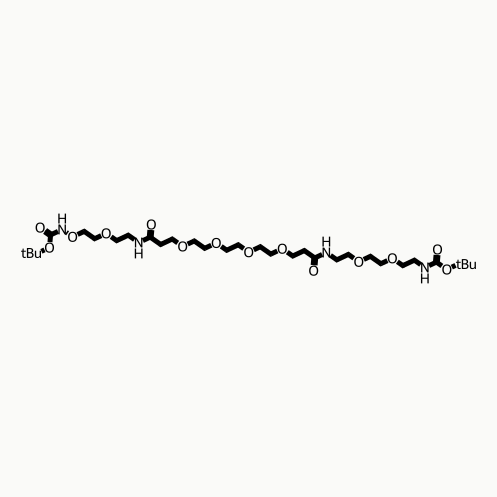 CC(C)(C)OC(=O)NCCOCCOCCNC(=O)CCOCCOCCOCCOCCC(=O)NCCOCCONC(=O)OC(C)(C)C